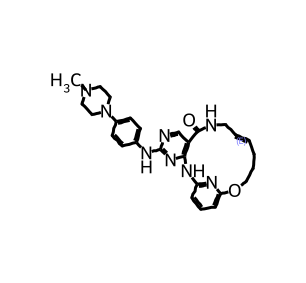 CN1CCN(c2ccc(Nc3ncc4c(n3)Nc3cccc(n3)OCCC/C=C/CNC4=O)cc2)CC1